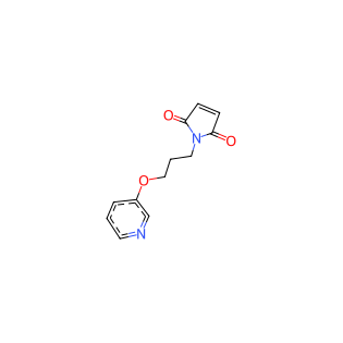 O=C1C=CC(=O)N1CCCOc1cccnc1